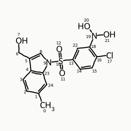 Cc1ccc2c(CO)cn(S(=O)(=O)c3ccc(Cl)c(N(O)O)c3)c2c1